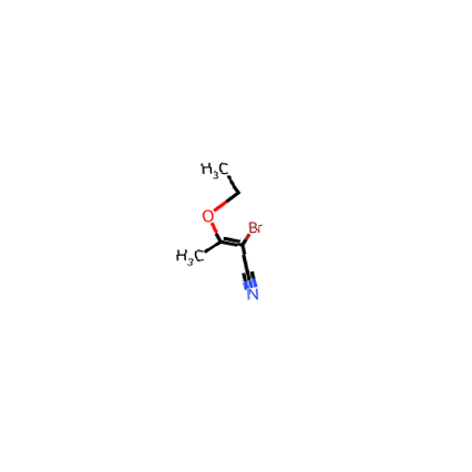 CCOC(C)=C(Br)C#N